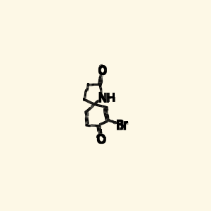 O=C1CCC2(C=CC(=O)C(Br)=C2)N1